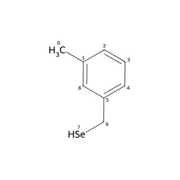 Cc1cccc(C[SeH])c1